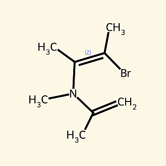 C=C(C)N(C)/C(C)=C(/C)Br